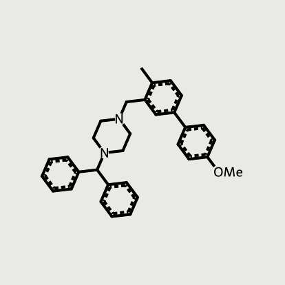 COc1ccc(-c2ccc(C)c(CN3CCN(C(c4ccccc4)c4ccccc4)CC3)c2)cc1